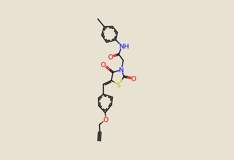 C#CCOc1ccc(/C=C2\SC(=O)N(CC(=O)Nc3ccc(C)cc3)C2=O)cc1